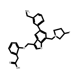 NCc1cccc(-c2cc(CN3CCC(F)C3)c3occ(COc4ccccc4CC(=O)O)c3c2)c1